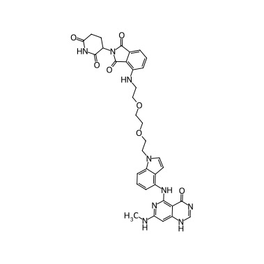 CNc1cc2[nH]cnc(=O)c2c(Nc2cccc3c2ccn3CCOCCOCCNc2cccc3c2C(=O)N(C2CCC(=O)NC2=O)C3=O)n1